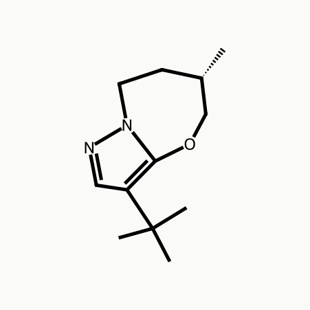 C[C@H]1CCn2ncc(C(C)(C)C)c2OC1